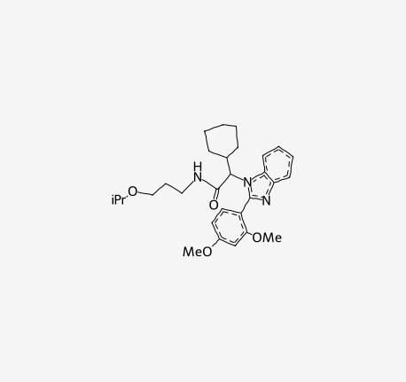 COc1ccc(-c2nc3ccccc3n2C(C(=O)NCCCOC(C)C)C2CCCCC2)c(OC)c1